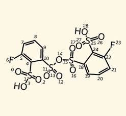 O=S(=O)(O)c1c(F)cccc1S(=O)(=O)OS(=O)(=O)c1cccc(F)c1S(=O)(=O)O